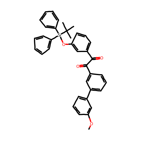 COc1cccc(-c2cccc(C(=O)C(=O)c3cccc(O[Si](c4ccccc4)(c4ccccc4)C(C)(C)C)c3)c2)c1